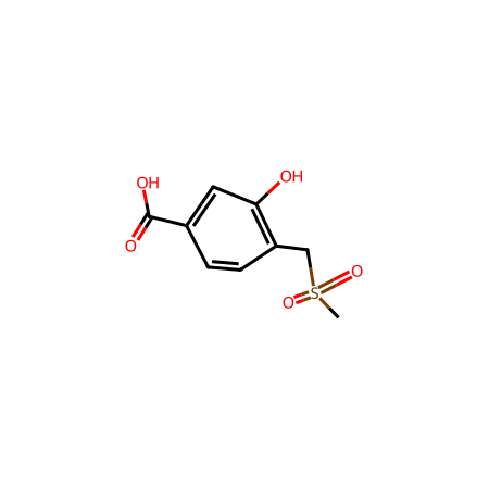 CS(=O)(=O)Cc1ccc(C(=O)O)cc1O